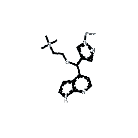 CCCC(C)n1cc(C(OCC[Si](C)(C)C)c2ccnc3[nH]ccc23)cn1